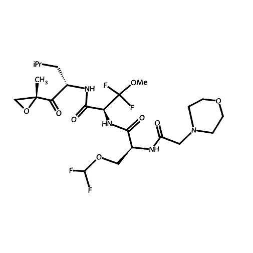 COC(F)(F)[C@@H](NC(=O)[C@H](COC(F)F)NC(=O)CN1CCOCC1)C(=O)N[C@@H](CC(C)C)C(=O)[C@@]1(C)CO1